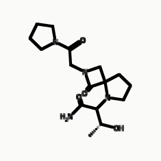 C[C@@H](O)C(C(N)=O)N1CCCC12CN(CC(=O)N1CCCC1)C2=O